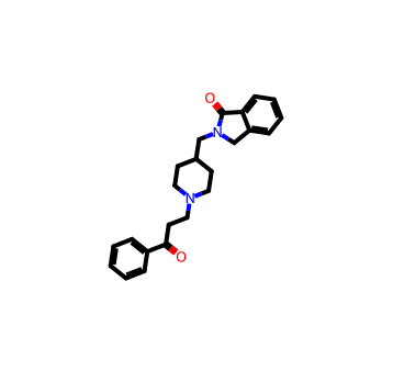 O=C(CCN1CCC(CN2Cc3ccccc3C2=O)CC1)c1ccccc1